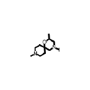 CC1CN(I)CC2(CCN(C)CC2)O1